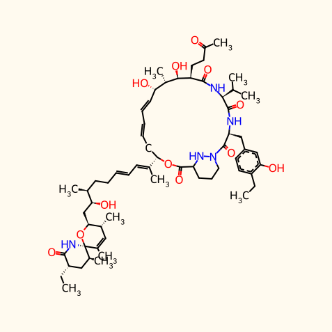 CCc1ccc(C[C@@H]2NC(=O)[C@H](C(C)C)NC(=O)[C@H](CCC(C)=O)[C@H](O)[C@@H](C)[C@@H](O)/C=C/C=C/C[C@@H](/C(C)=C/C=C/CC[C@H](C)[C@@H](O)C[C@@H]3O[C@@]4(NC(=O)[C@@H](CC)C[C@@H]4C)C(C)=C[C@H]3C)OC(=O)C3CCCN(N3)C2=O)cc1O